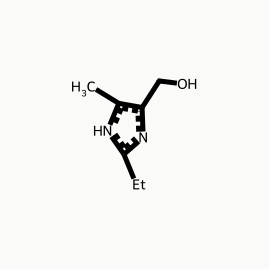 [CH2]Cc1nc(CO)c(C)[nH]1